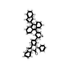 O=c1n(-c2ccccc2)c2cc(-c3cncc(-c4c5ccccc5c(-c5ccc6ccccc6c5)c5ccccc45)c3)ccc2c2nc3ccccc3n12